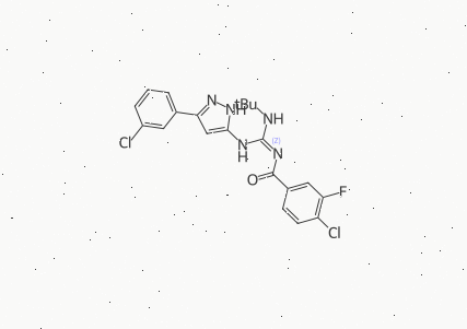 CC(C)(C)N/C(=N/C(=O)c1ccc(Cl)c(F)c1)Nc1cc(-c2cccc(Cl)c2)n[nH]1